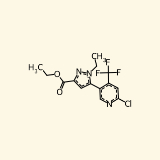 CCOC(=O)c1cc(-c2cnc(Cl)cc2C(F)(F)F)n(CC)n1